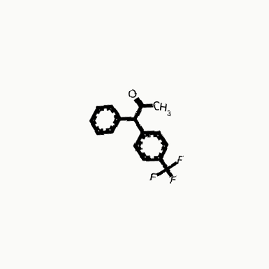 CC(=O)C(c1ccccc1)c1ccc(C(F)(F)F)cc1